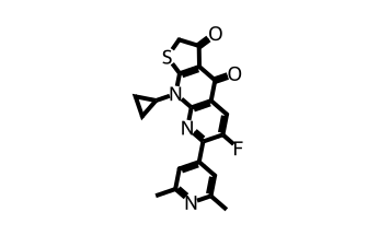 Cc1cc(-c2nc3c(cc2F)c(=O)c2c(n3C3CC3)SCC2=O)cc(C)n1